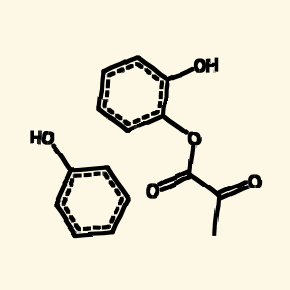 CC(=O)C(=O)Oc1ccccc1O.Oc1ccccc1